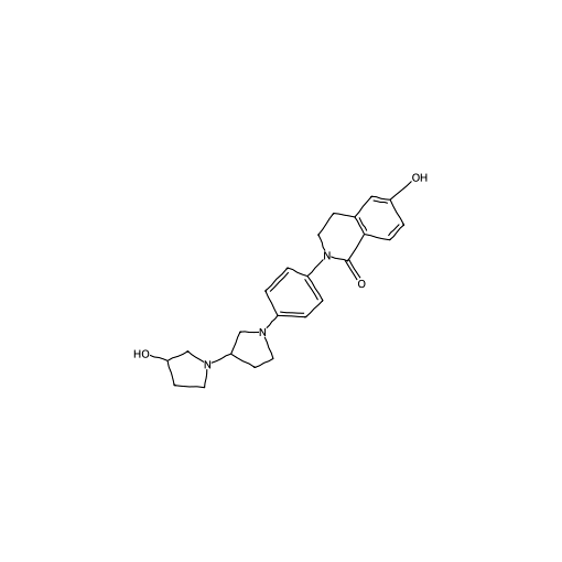 O=C1c2ccc(O)cc2CCN1c1ccc(N2CCC(N3CCC(O)C3)C2)cc1